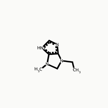 CCN1CN(C)c2[nH]cnc21